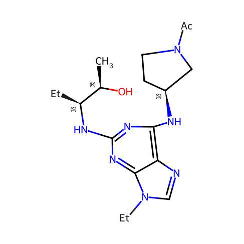 CC[C@H](Nc1nc(N[C@H]2CCN(C(C)=O)C2)c2ncn(CC)c2n1)[C@@H](C)O